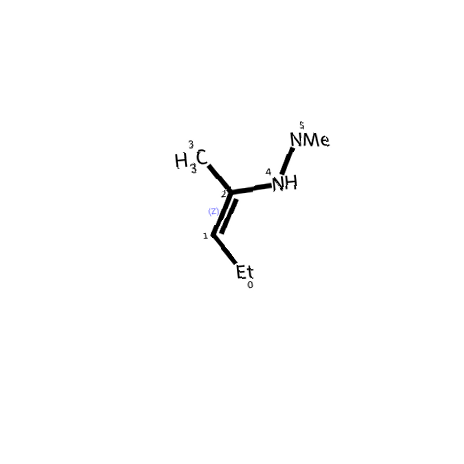 CC/C=C(/C)NNC